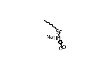 CCCCCCCCCC[Si](C)(C)CCCNc1ccc(C(=O)[O-])cc1.[Na+]